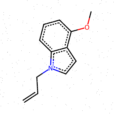 C=CCn1ccc2c(OC)cccc21